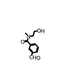 CN(CCO)C(=O)c1cccc(C=O)c1